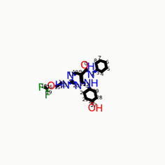 O=C(NC1CCCCC1)c1cnc(NCCOC(F)F)nc1NC1CCC(O)CC1